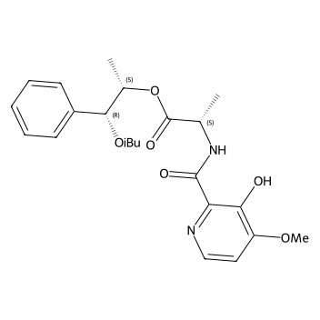 COc1ccnc(C(=O)N[C@@H](C)C(=O)O[C@@H](C)[C@H](OCC(C)C)c2ccccc2)c1O